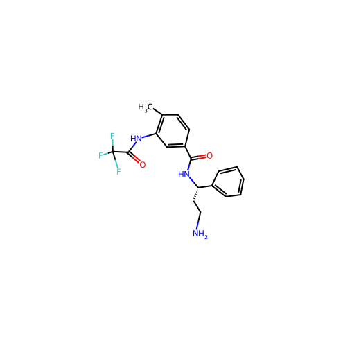 Cc1ccc(C(=O)N[C@@H](CCN)c2ccccc2)cc1NC(=O)C(F)(F)F